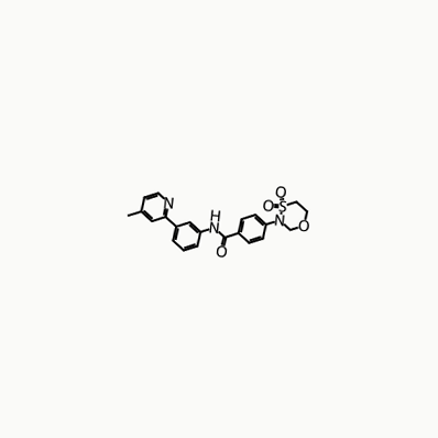 Cc1ccnc(-c2cccc(NC(=O)c3ccc(N4COCCS4(=O)=O)cc3)c2)c1